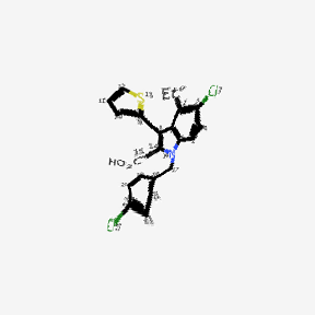 CCc1c(Cl)ccc2c1c(-c1cccs1)c(C(=O)O)n2Cc1ccc(Cl)cc1